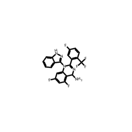 NC1N=C(c2cc(F)ccc2C(F)(F)F)N(c2n[nH]c3ccccc23)c2cc(F)cc(F)c21